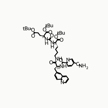 CC(C)(C)OC(=O)CC[C@H](NC(=O)N[C@@H](CCCCNC(=O)[C@H](Cc1ccc2ncccc2c1)NC(=O)c1ccc(CN)cn1)C(=O)OC(C)(C)C)C(=O)OC(C)(C)C